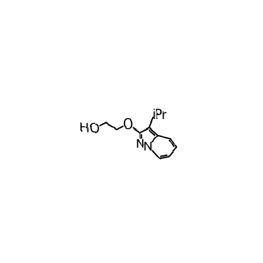 CC(C)c1c(OCCO)nn2ccccc12